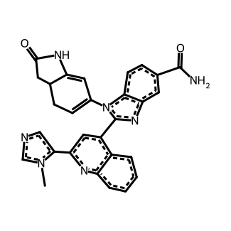 Cn1cncc1-c1cc(-c2nc3cc(C(N)=O)ccc3n2C2=CCC3CC(=O)NC3=C2)c2ccccc2n1